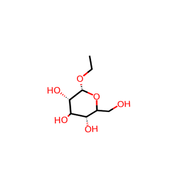 CCO[C@@H]1OC(CO)[C@H](O)C(O)[C@@H]1O